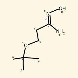 CC(C)(C)OCC/C(N)=N/O